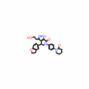 O=C1CCCCN1c1ccc(N2CC(c3ccc4c(c3)CCO4)c3c(CCO)n[nH]c3C2=O)cc1